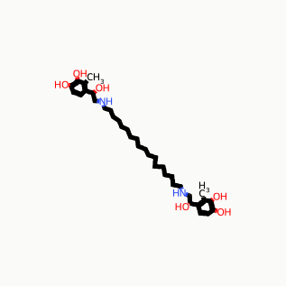 Cc1c(C(O)CNCCCCCCCCCCCCCCCCCCNCC(O)c2ccc(O)c(O)c2C)ccc(O)c1O